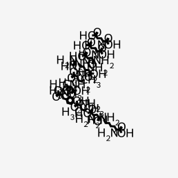 CC(C)[C@H](N)C(=O)O.CC[C@H](C)[C@H](N)C(=O)O.CC[C@H](C)[C@H](N)C(=O)O.N=C(N)NCCC[C@H](N)C(=O)O.NC(=O)C[C@H](N)C(=O)O.NC(=O)C[C@H](N)C(=O)O.NCCCC[C@H](N)C(=O)O.N[C@@H](CCC(=O)O)C(=O)O.N[C@@H](CCC(=O)O)C(=O)O.N[C@@H](Cc1ccccc1)C(=O)O